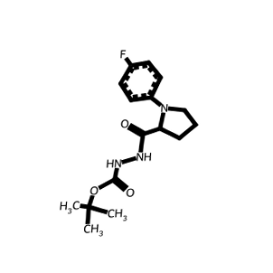 CC(C)(C)OC(=O)NNC(=O)C1CCCN1c1ccc(F)cc1